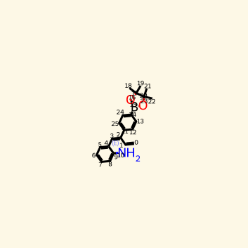 C=C/C(=C\c1ccccc1N)c1ccc(B2OC(C)(C)C(C)(C)O2)cc1